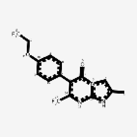 Cc1cn2c(=O)c(-c3ccc(OCC(F)(F)F)cc3)c(C(F)(F)F)nc2[nH]1